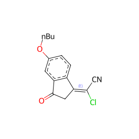 CCCCOc1ccc2c(c1)C(=O)C/C2=C(\Cl)C#N